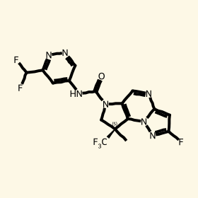 C[C@]1(C(F)(F)F)CN(C(=O)Nc2cnnc(C(F)F)c2)c2cnc3cc(F)nn3c21